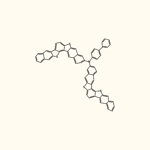 c1ccc(-c2ccc(N(c3ccc4cc5c(cc4c3)sc3ccc4c6cc7ccccc7cc6sc4c35)c3ccc4cc5c(cc4c3)sc3ccc4c6cc7ccccc7cc6sc4c35)cc2)cc1